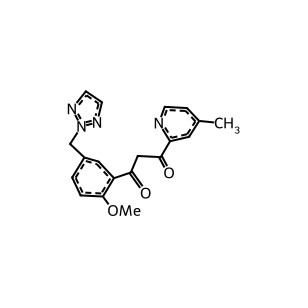 COc1ccc(Cn2nccn2)cc1C(=O)CC(=O)c1cc(C)ccn1